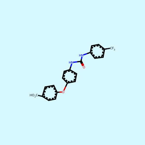 O=C(Nc1ccc(Oc2ccc(C(=O)O)cc2)cc1)Nc1ccc(C(F)(F)F)cc1